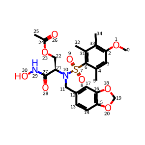 COc1cc(C)c(S(=O)(=O)N(Cc2ccc3c(c2)OCO3)[C@H](COC(C)=O)C(=O)NO)c(C)c1C